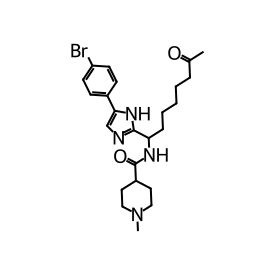 CC(=O)CCCCCC(NC(=O)C1CCN(C)CC1)c1ncc(-c2ccc(Br)cc2)[nH]1